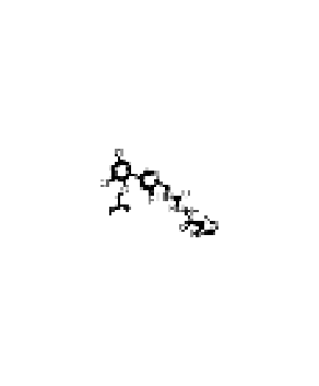 O=C(NCc1ncc(-c2cc(Cl)cc(Cl)c2OCC(F)F)cc1F)NNC(=O)c1nnc[nH]1